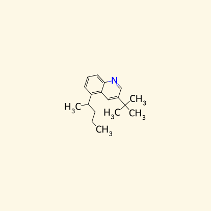 CCCC(C)c1cccc2ncc(C(C)(C)C)cc12